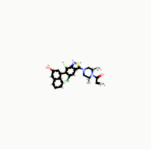 C=CC(=O)N1[C@@H](CC)CN(c2snc3c(F)c(-c4cc(O)cc5ccccc45)c(Cl)cc23)C[C@H]1C